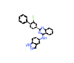 Fc1cc(-c2nc(Nc3ccc4[nH]ncc4c3)c3ccccc3n2)ccc1-c1ccccc1